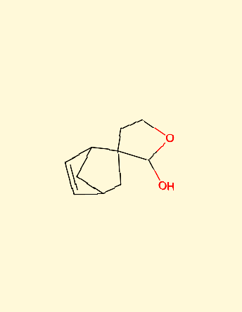 OC1OCCC12CC1C=CC2C1